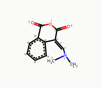 CN(C)/C=C1/C(=O)OC(=O)c2ccccc21